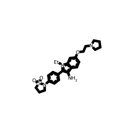 CCn1c(-c2ccc(N3CCCS3(=O)=O)cc2)c(N)c2ccc(OCCN3CCCC3)cc21